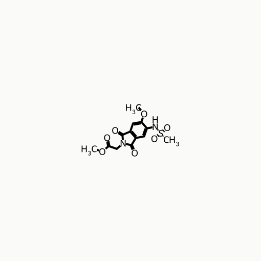 COC(=O)CN1C(=O)c2cc(NS(C)(=O)=O)c(OC)cc2C1=O